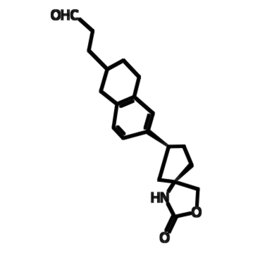 O=CCCC1CCc2cc([C@H]3CC[C@]4(COC(=O)N4)C3)ccc2C1